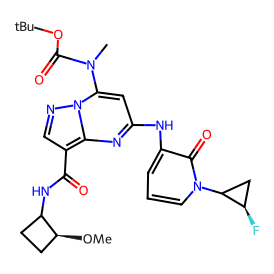 CO[C@H]1CCC1NC(=O)c1cnn2c(N(C)C(=O)OC(C)(C)C)cc(Nc3cccn(C4C[C@H]4F)c3=O)nc12